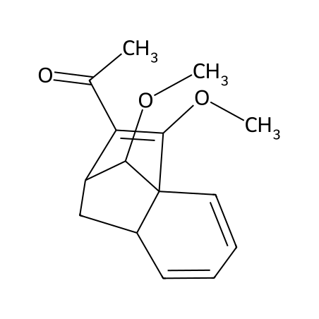 COC1=C(C(C)=O)C2CC3C=CC=CC13C2OC